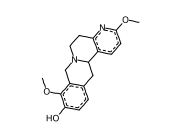 COc1ccc2c(n1)CCN1Cc3c(ccc(O)c3OC)CC21